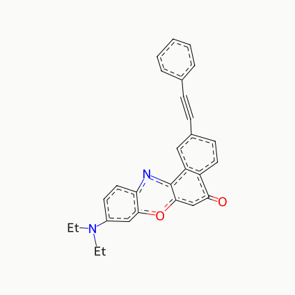 CCN(CC)c1ccc2nc3c4cc(C#Cc5ccccc5)ccc4c(=O)cc-3oc2c1